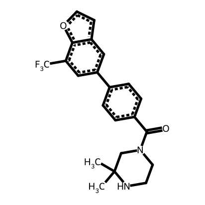 CC1(C)CN(C(=O)c2ccc(-c3cc(C(F)(F)F)c4occc4c3)cc2)CCN1